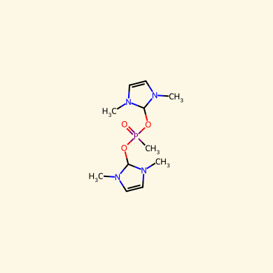 CN1C=CN(C)C1OP(C)(=O)OC1N(C)C=CN1C